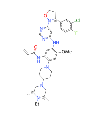 C=CC(=O)Nc1cc(Nc2cc(N3OCC[C@@H]3c3ccc(F)c(Cl)c3)ncn2)c(OC)cc1N1CCC(N2C[C@@H](C)N(CC)[C@@H](C)C2)CC1